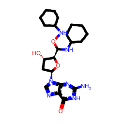 Nc1nc2c(ncn2[C@H]2C[C@H](O)[C@@H](C(NC3CCCCC3)ONC3CCCCC3)O2)c(=O)[nH]1